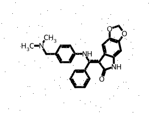 CN(C)Cc1ccc(NC(=C2C(=O)Nc3cc4c(cc32)OCO4)c2ccccc2)cc1